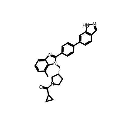 Cc1cccc2nc(-c3ccc(-c4ccc5cn[nH]c5c4)cc3)n(C[C@@H]3CCN(C(=O)C4CC4)C3)c12